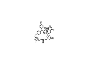 C=C(Cc1c(F)cncc1NC(=O)[C@@H](N)C(c1ccc(F)cc1)c1ccc(F)cc1)[C@@H]1CNC[C@@H](CCNCCn2nc(C)cc2C)O1